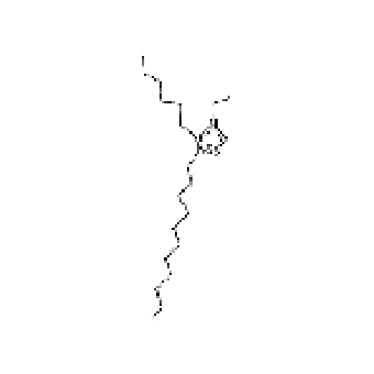 CCCCCCCCCCC[n+]1ccn(CC)c1CCCCCC